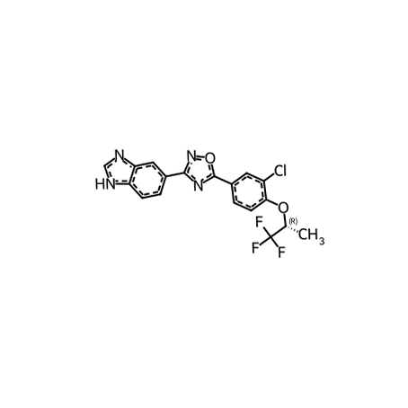 C[C@@H](Oc1ccc(-c2nc(-c3ccc4[nH]cnc4c3)no2)cc1Cl)C(F)(F)F